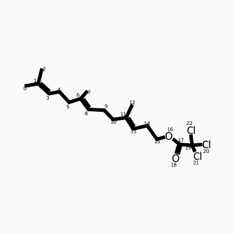 CC(C)=CCC/C(C)=C/CC/C(C)=C/CCOC(=O)C(Cl)(Cl)Cl